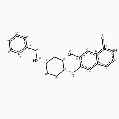 O=c1[nH]ccc2cc(O[C@H]3CC[C@@H](NCc4ccccn4)CC3)c(Cl)cc12